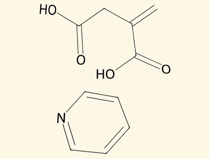 C=C(CC(=O)O)C(=O)O.c1ccncc1